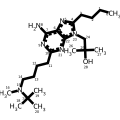 CCCCc1nc2c(N)nc(CCCCN(C)C(C)(C)C)nc2n1CC(C)(C)O